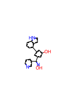 ON=C(c1cccnc1)c1cc(O)cc(-c2cccc3[nH]ccc23)c1